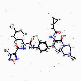 CCc1nonc1C(=O)N[C@H](C(=O)Nc1ccc([C@H](C)[C@@H](NC(=O)CC2CC2)C(=O)N2CCN(C)CC2)cc1F)[C@H]1CC[C@H](C)CC1